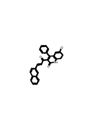 O=C(C=Cc1ccc2ccccc2c1)c1c(-c2ccccc2)c2c([nH]c1=O)CCC(Cl)=C2